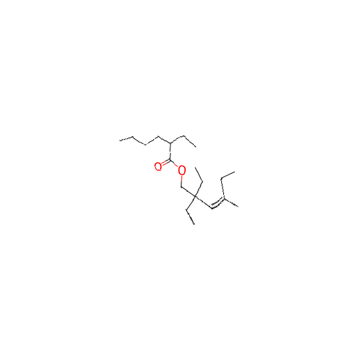 CCCCC(CC)C(=O)OCC(C=C(C)CC)(CC)CC